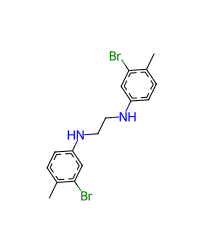 Cc1ccc(NCCNc2ccc(C)c(Br)c2)cc1Br